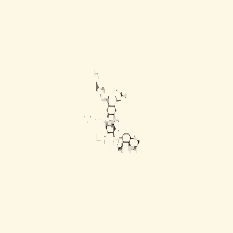 COc1cc(N2CC3CN(CCF)CC3C2)c(-c2cnn(C)c2)cc1Nc1ncc(Br)c(Nc2ccc3nccnc3c2P(C)(C)=O)n1